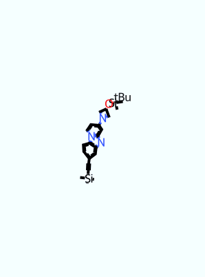 CC(C)(C)[Si](C)(C)OC1CN(c2ccn3c(c2)nc2cc(C#C[Si](C)(C)C)ccc23)C1